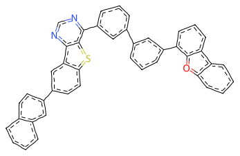 c1cc(-c2cccc(-c3ncnc4c3sc3ccc(-c5ccc6ccccc6c5)cc34)c2)cc(-c2cccc3c2oc2ccccc23)c1